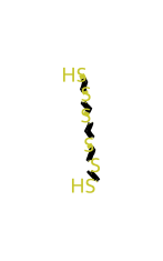 SCCSCCSCCCSCCSCCS